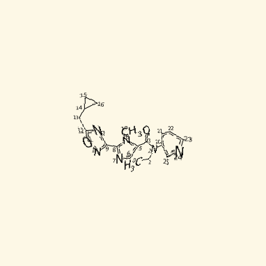 CCN(C(=O)c1cnc(-c2noc(CC3CC3)n2)n1C)c1cccnc1